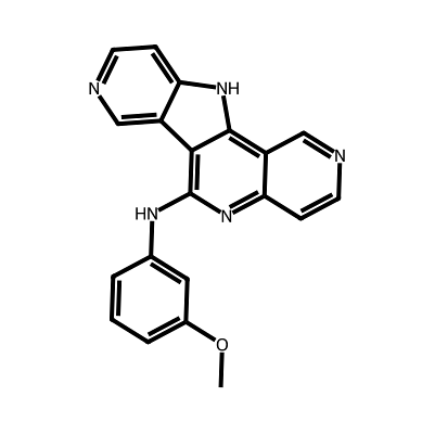 COc1cccc(Nc2nc3ccncc3c3[nH]c4ccncc4c23)c1